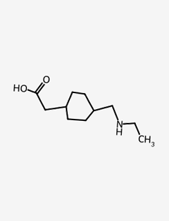 CCNCC1CCC(CC(=O)O)CC1